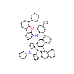 N#Cc1ccc(N(c2cc3c(c4ccccc24)-c2c(ccc4ccccc24)C32c3ccccc3N(c3ccccc3)c3ccccc32)c2cccc3c2oc2c(C4CCCCC4)cccc23)cc1